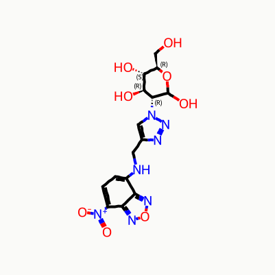 O=[N+]([O-])c1ccc(NCc2cn([C@H]3C(O)O[C@H](CO)[C@@H](O)[C@@H]3O)nn2)c2nonc12